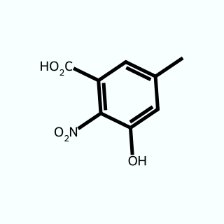 Cc1cc(O)c([N+](=O)[O-])c(C(=O)O)c1